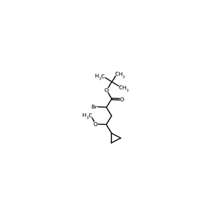 COC(CC(Br)C(=O)OC(C)(C)C)C1CC1